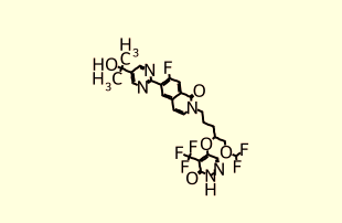 CC(C)(O)c1cnc(-c2cc3ccn(CCCC(COC(F)F)Oc4cn[nH]c(=O)c4C(F)(F)F)c(=O)c3cc2F)nc1